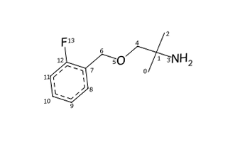 CC(C)(N)COCc1ccccc1F